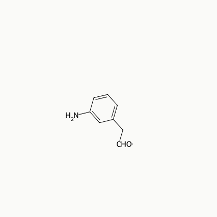 Nc1cccc(C[C]=O)c1